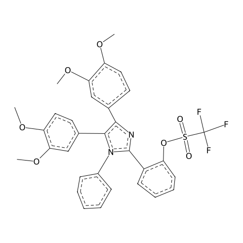 COc1ccc(-c2nc(-c3ccccc3OS(=O)(=O)C(F)(F)F)n(-c3ccccc3)c2-c2ccc(OC)c(OC)c2)cc1OC